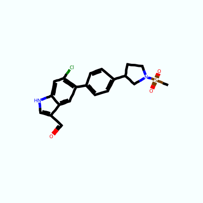 CS(=O)(=O)N1CCC(c2ccc(-c3cc4c(C=O)c[nH]c4cc3Cl)cc2)C1